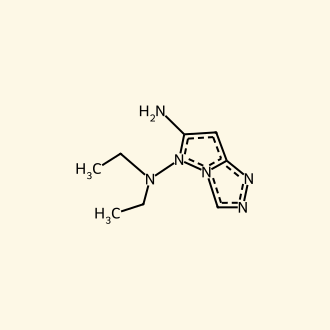 CCN(CC)n1c(N)cc2nncn21